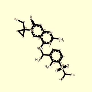 Cc1nc(NC(C)c2cccc(S(=O)(=O)C(F)F)c2C)c2cn(C3(CF)CC3)c(=O)cc2n1